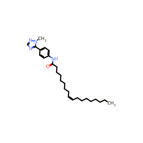 CCCCCCCC/C=C\CCCCCCCC(=O)Nc1ccc(-c2ncnn2C)cc1